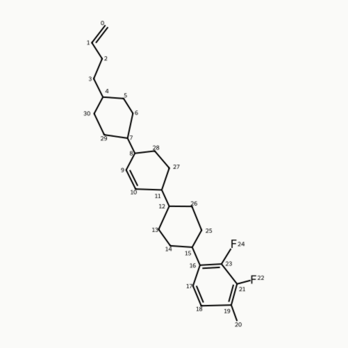 C=CCCC1CCC(C2C=CC(C3CCC(c4ccc(C)c(F)c4F)CC3)CC2)CC1